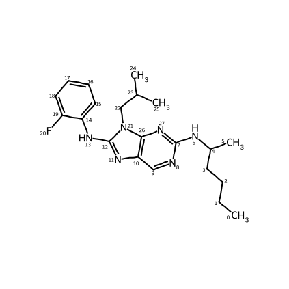 CCCCC(C)Nc1ncc2nc(Nc3ccccc3F)n(CC(C)C)c2n1